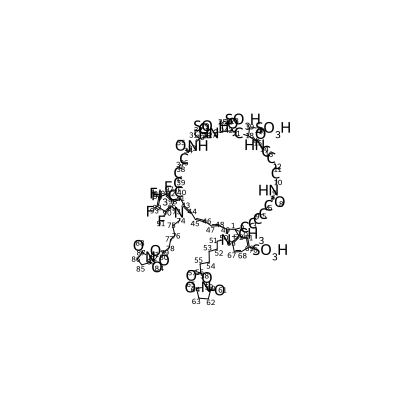 CC12CCCCCC(=O)NCCCCCNC(=O)C(CS(=O)(=O)O)CC(=O)C(CS(=O)(=O)O)NC(=O)C(CS(=O)(=O)O)NC(=O)CCCCCC3(C)/C(=C/C=C/C=C/C1=[N+](CCCCCC(=O)ON1C(=O)CCC1=O)c1ccc(S(=O)(=O)O)cc12)N(CCCCCC(=O)ON1C(=O)CCC1=O)c1c(F)c(F)c(F)c(F)c13